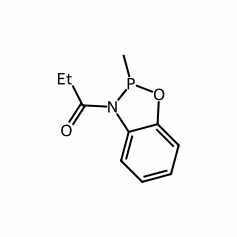 CCC(=O)N1c2ccccc2OP1C